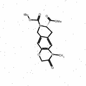 COC(=O)[C@@H]1Cc2cc3c(cc2CN1C(=O)OC(C)(C)C)OCC(=O)N3C